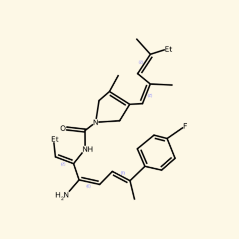 CC/C=C(NC(=O)N1CC(C)=C(/C=C(C)\C=C(\C)CC)C1)/C(N)=C\C=C(/C)c1ccc(F)cc1